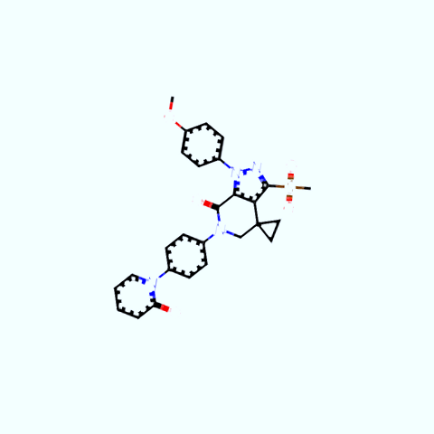 COc1ccc(-n2nc(S(C)(=O)=O)c3c2C(=O)N(c2ccc(-n4ccccc4=O)cc2)CC32CC2)cc1